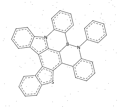 c1ccc(N2B3c4ccccc4-n4c5ccccc5c5c6c(sc7ccccc76)c(c3c54)-c3ccccc32)cc1